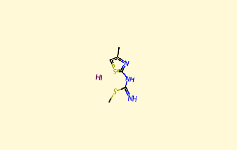 CSC(=N)Nc1nc(C)cs1.I